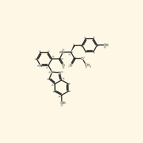 COC(=O)[C@H](Cc1ccc(O)cc1)NC(=O)c1cccnc1-n1cc2cc(O)ccc2n1